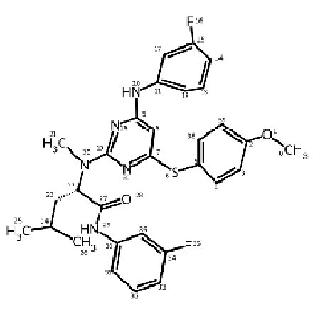 COc1ccc(Sc2cc(Nc3cccc(F)c3)nc(N(C)[C@@H](CC(C)C)C(=O)Nc3cccc(F)c3)n2)cc1